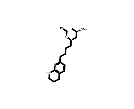 CO[C@H](C)CN(CCCCc1ccc2c(n1)NCCC2)OCO